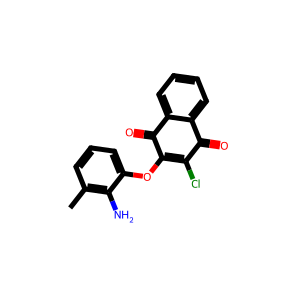 Cc1cccc(OC2=C(Cl)C(=O)c3ccccc3C2=O)c1N